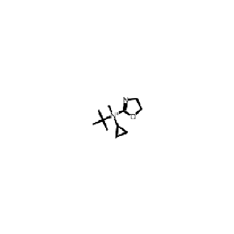 CC(C)(C)[N+](C)(C1=NCCO1)C1CC1